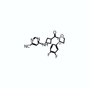 N#Cc1cc(NC2CC(C(=O)N3OCC[C@H]3c3ccc(F)c(F)c3)C2)ncn1